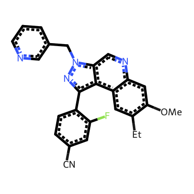 CCc1cc2c(cc1OC)ncc1c2c(-c2ccc(C#N)cc2F)nn1Cc1cccnc1